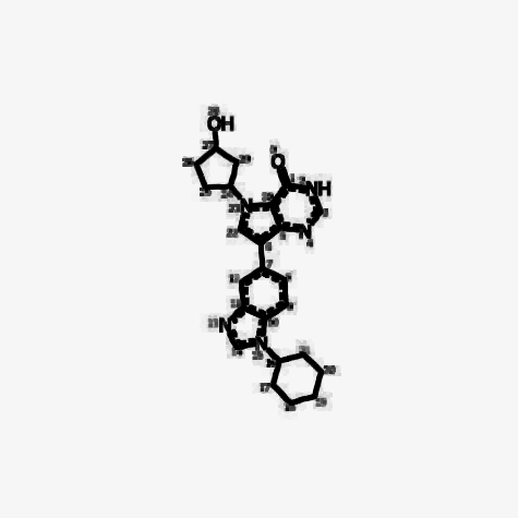 O=c1[nH]cnc2c(-c3ccc4c(c3)ncn4C3CCCCC3)cn(C3CCC(O)C3)c12